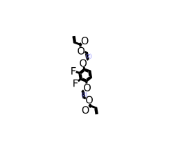 C=CC(=O)O/C=C\Oc1ccc(O/C=C\OC(=O)C=C)c(F)c1F